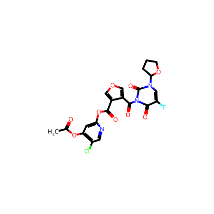 CC(=O)Oc1cc(OC(=O)c2cocc2C(=O)n2c(=O)c(F)cn(C3CCCO3)c2=O)ncc1Cl